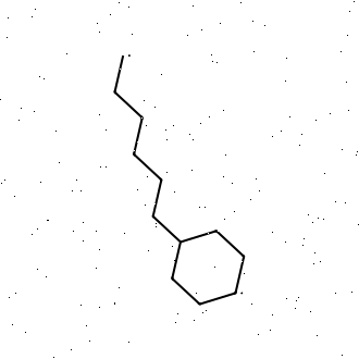 [CH2]CCCCCC1CC[CH]CC1